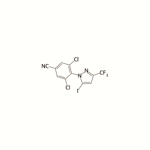 N#Cc1cc(Cl)c(-n2nc(C(F)(F)F)cc2I)c(Cl)c1